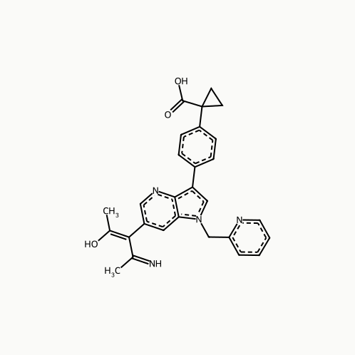 CC(=N)/C(=C(/C)O)c1cnc2c(-c3ccc(C4(C(=O)O)CC4)cc3)cn(Cc3ccccn3)c2c1